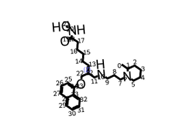 CC1CCCCN1CCCNC/C(=C/CCCCC(=O)NO)COc1cccc2ccccc12